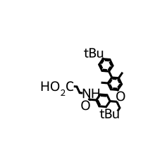 Cc1cc(OC(CC(C)(C)C)C2C=CC(C(=O)NCCC(=O)O)=CC2)cc(C)c1-c1ccc(C(C)(C)C)cc1